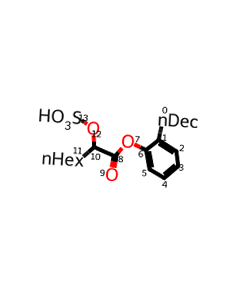 CCCCCCCCCCc1ccccc1OC(=O)C(CCCCCC)OS(=O)(=O)O